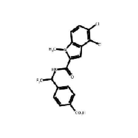 Cn1c(C(=O)NC(c2ccc(C(=O)O)cc2)C(F)(F)F)cc2c(Cl)c(Cl)ccc21